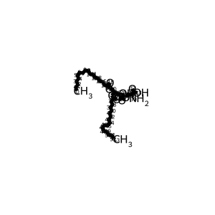 CCCCC/C=C\C/C=C\CCCCCCCC(=O)OCC(COP(=O)(O)OC[C@H](N)C(=O)O)OC(=O)CCCCCCC/C=C\C/C=C\CCCCC